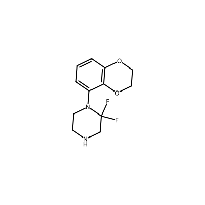 FC1(F)CNCCN1c1cccc2c1OCCO2